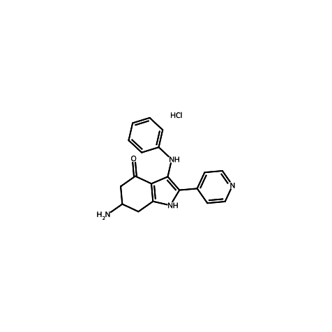 Cl.NC1CC(=O)c2c([nH]c(-c3ccncc3)c2Nc2ccccc2)C1